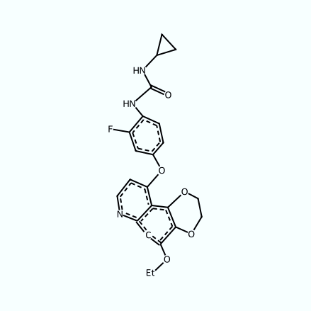 CCOc1cc2nccc(Oc3ccc(NC(=O)NC4CC4)c(F)c3)c2c2c1OCCO2